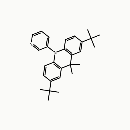 CC(C)(C)c1ccc2c(c1)C(C)(C)c1cc(C(C)(C)C)ccc1N2c1cccnc1